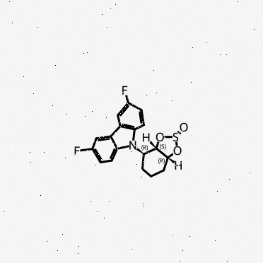 O=S1O[C@H]2[C@H](n3c4ccc(F)cc4c4cc(F)ccc43)CCC[C@H]2O1